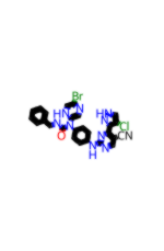 N#Cc1cnc(N[C@H]2CC[C@H](N(C(=O)NCc3ccccc3)c3cnc(Br)cn3)CC2)nc1-c1n[nH]cc1Cl